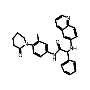 Cc1cc(NC(=O)C(Nc2ccc3ncccc3c2)c2ccccc2)ccc1N1CCCCC1=O